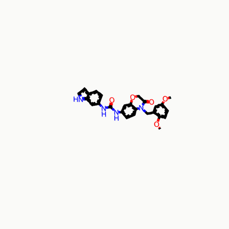 COc1ccc(OC)c(CN2C(=O)COc3cc(NC(=O)Nc4ccc5cc[nH]c5c4)ccc32)c1